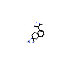 Cc1n[nH]c(C)c1-c1cccc2c1CCC1(CNC(N)=N1)C2